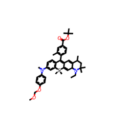 CCN1C2C=C3C(=C(c4ccc(C(=O)OC(C)(C)C)cc4C)c4ccc(N(C)c5ccc(OCOC)cc5)cc4[Si]3(C)C)C=C2C(C)CC1(C)C